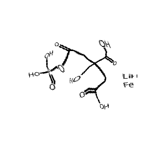 O=C(O)CC(O)(CC(=O)OP(=O)(O)O)C(=O)O.[Fe].[LiH]